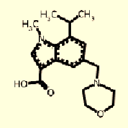 CC(C)c1cc(CN2CCOCC2)cc2c(C(=O)O)cn(C)c12